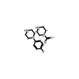 Fc1ccc(N2CCNCC2)cc1.NC(=O)N1CCNCC1